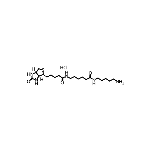 Cl.NCCCCCNC(=O)CCCCCNC(=O)CCCC[C@@H]1SC[C@@H]2NC(=O)N[C@@H]21